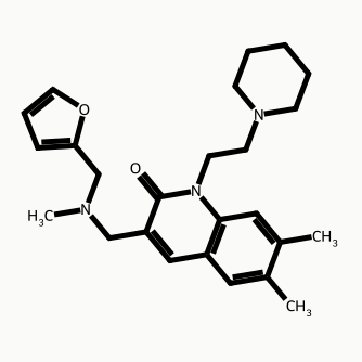 Cc1cc2cc(CN(C)Cc3ccco3)c(=O)n(CCN3CCCCC3)c2cc1C